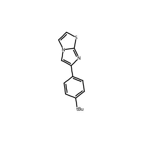 CC(C)(C)c1ccc(-c2cn3ccsc3n2)cc1